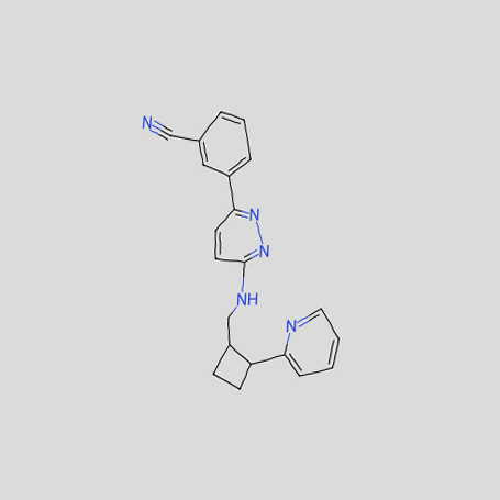 N#Cc1cccc(-c2ccc(NCC3CCC3c3ccccn3)nn2)c1